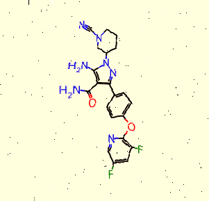 N#CN1CCCC(n2nc(-c3ccc(Oc4ncc(F)cc4F)cc3)c(C(N)=O)c2N)C1